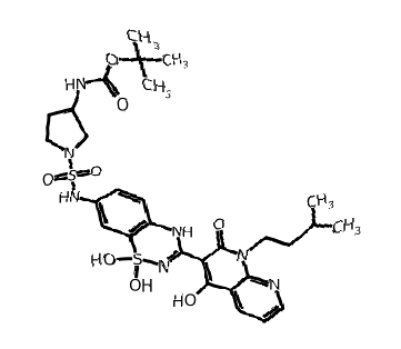 CC(C)CCn1c(=O)c(C2=NS(O)(O)c3cc(NS(=O)(=O)N4CCC(NC(=O)OC(C)(C)C)C4)ccc3N2)c(O)c2cccnc21